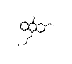 CCCCn1c2c(c(=O)c3ccccc31)CC(C)C=C2